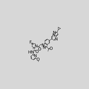 COc1cccc(NC(=O)[C@@H]2C[C@@H](F)CN2C(=O)Cn2nc(C(C)=O)c3cc(-c4cnc5cc(C6CC6)nn5c4)ccc32)n1